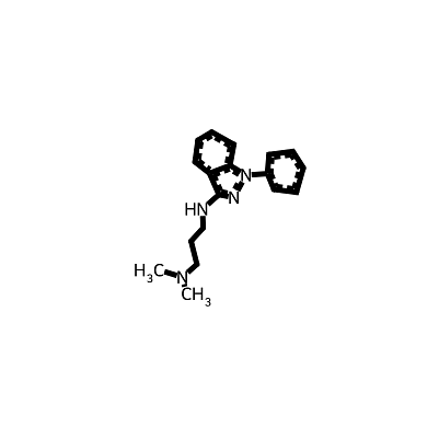 CN(C)CCCNc1nn(-c2ccccc2)c2ccccc12